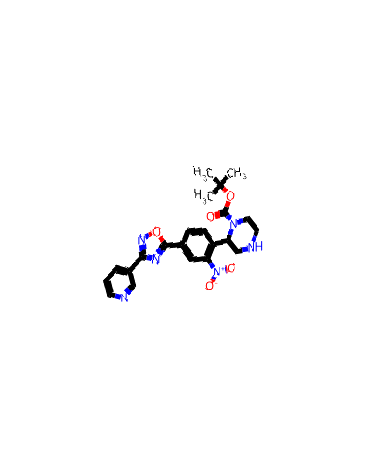 CC(C)(C)OC(=O)N1CCNCC1c1ccc(-c2nc(-c3cccnc3)no2)cc1[N+](=O)[O-]